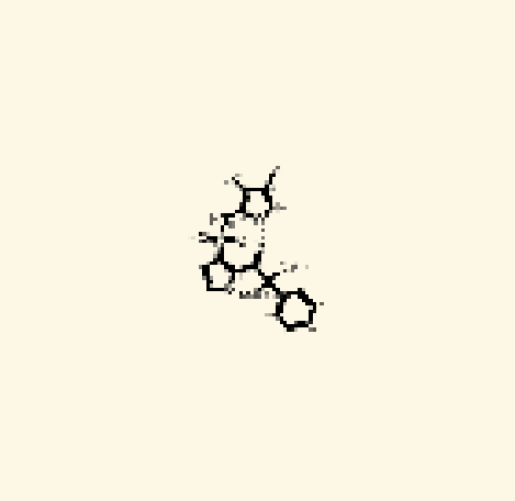 COC(OC)(C(=O)c1sccc1S(=O)(=O)Nc1onc(C)c1Cl)c1ccccc1